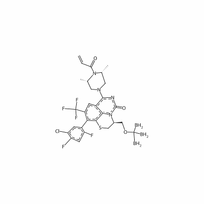 BC(B)(B)OC[C@H]1CSc2c(-c3cc(Cl)c(F)cc3F)c(C(F)(F)F)cc3c(N4C[C@@H](C)N(C(=O)C=C)[C@@H](C)C4)nc(=O)n1c23